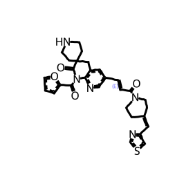 O=C(/C=C/c1cnc2c(c1)CC1(CCNCC1)C(=O)N2C(=O)c1ccco1)N1CCC(=Cc2cscn2)CC1